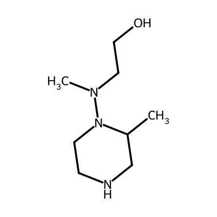 CC1CNCCN1N(C)CCO